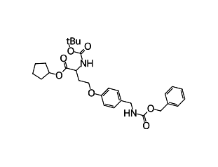 CC(C)(C)OC(=O)NC(CCOc1ccc(CNC(=O)OCc2ccccc2)cc1)C(=O)OC1CCCC1